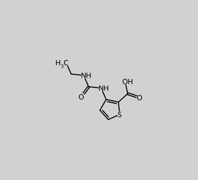 CCNC(=O)Nc1ccsc1C(=O)O